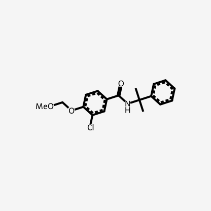 COCOc1ccc(C(=O)NC(C)(C)c2ccccc2)cc1Cl